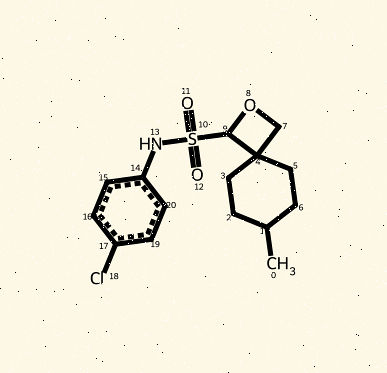 CC1CCC2(CC1)COC2S(=O)(=O)Nc1ccc(Cl)cc1